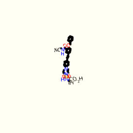 CC(C)C(NS(=O)(=O)N1CCN(c2ccc(C#Cc3ccc(OCc4ccccc4)c(C(=O)NCC#N)c3)cc2)CC1)C(=O)O